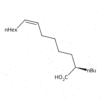 CCCCCC/C=C\CCCC[C@@H](CCCC)C(=O)O